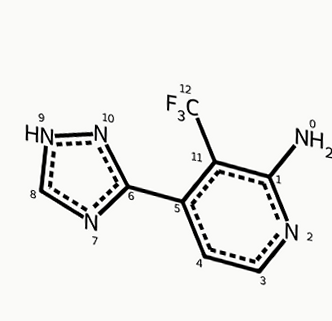 Nc1nccc(-c2nc[nH]n2)c1C(F)(F)F